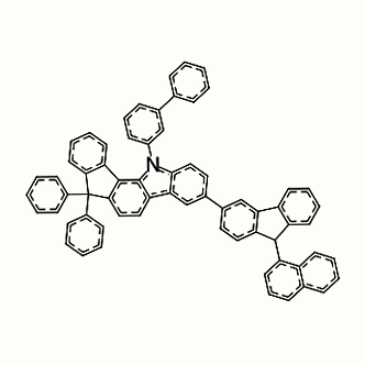 c1ccc(-c2cccc(-n3c4ccc(-c5ccc6c(c5)-c5ccccc5C6c5cccc6ccccc56)cc4c4ccc5c(c43)-c3ccccc3C5(c3ccccc3)c3ccccc3)c2)cc1